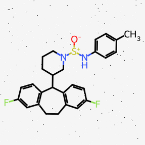 Cc1ccc(N[S+]([O-])N2CCCC(C3c4ccc(F)cc4CCc4cc(F)ccc43)C2)cc1